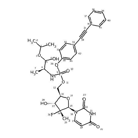 CC(C)OC(O)[C@H](C)NP(=O)(OC[C@H]1O[C@@H](n2ccc(=O)[nH]c2=O)[C@](C)(F)[C@@H]1O)Oc1ccc(C#Cc2ccccc2)cc1